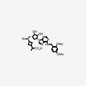 COc1ccc(CNc2ncnc3c2ncn3[C@@H]2C[C@H](CN(C(C)C)C3CC(C(C)C(=O)O)C3)[C@@H](O)[C@H]2O)c(OC)c1